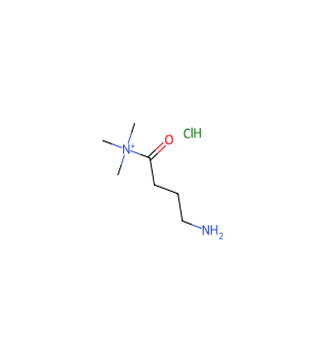 C[N+](C)(C)C(=O)CCCN.Cl